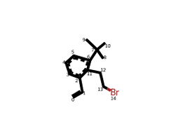 C=Cc1cccc(C(C)(C)C)c1CCBr